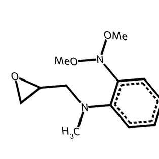 CON(OC)c1ccccc1N(C)CC1CO1